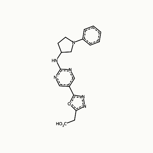 O=C(O)Cc1nnc(-c2cnc(NC3CCN(c4ccccc4)C3)nc2)o1